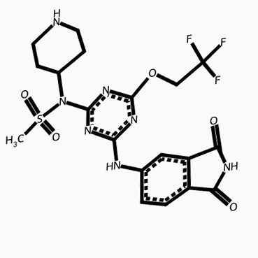 CS(=O)(=O)N(c1nc(Nc2ccc3c(c2)C(=O)NC3=O)nc(OCC(F)(F)F)n1)C1CCNCC1